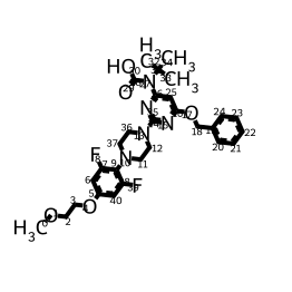 COCCOc1cc(F)c(N2CCN(c3nc(OCc4ccccc4)cc(N(C(=O)O)C(C)(C)C)n3)CC2)c(F)c1